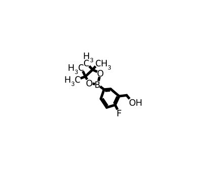 CC1(C)OB(c2ccc(F)c(CO)c2)OC1(C)C